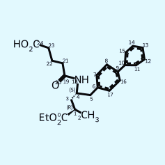 CCOC(=O)[C@H](C)C[C@@H](Cc1ccc(-c2ccccc2)cc1)NC(=O)CCCC(=O)O